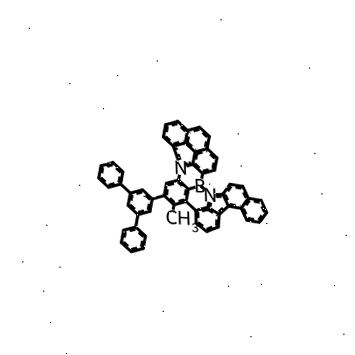 Cc1c(-c2cc(-c3ccccc3)cc(-c3ccccc3)c2)cc2c3c1-c1cccc4c5c6ccccc6ccc5n(c14)B3c1ccc3ccc4cccc5c4c3c1n5-2